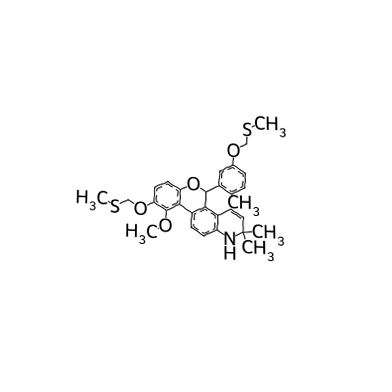 COc1c(OCSC)ccc2c1-c1ccc3c(c1C(c1cccc(OCSC)c1)O2)C(C)=CC(C)(C)N3